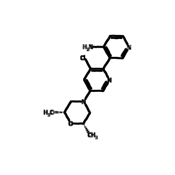 C[C@@H]1CN(c2cnc(-c3cnccc3N)c(Cl)c2)C[C@H](C)O1